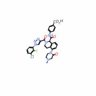 CN1CCN(c2cccc3c2CCN(C(=O)c2cn(-c4cccc(Cl)c4F)nn2)C3C(=O)Nc2ccc(C(=O)O)cc2)C(=O)C1